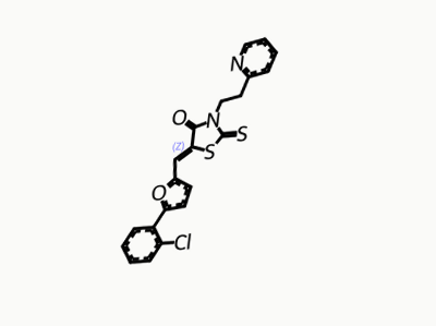 O=C1/C(=C/c2ccc(-c3ccccc3Cl)o2)SC(=S)N1CCc1ccccn1